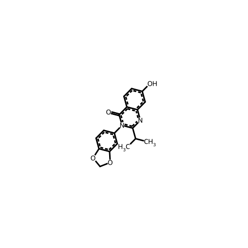 CC(C)c1nc2cc(O)ccc2c(=O)n1-c1ccc2c(c1)OCO2